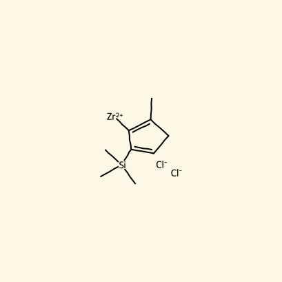 CC1=[C]([Zr+2])C([Si](C)(C)C)=CC1.[Cl-].[Cl-]